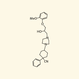 COc1ccccc1OCC(O)CN1CCN(C2CCC(C#N)(c3ccccc3)CC2)CC1